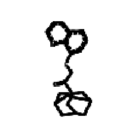 O=C(CSc1cccc2cccnc12)C12CC3CC(CC(C3)C1)C2